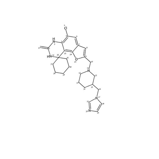 C=C1Nc2c(Cl)cc3cc(CN4CCCC(Cn5ccnc5)C4)oc3c2C2(CCCCC2)N1